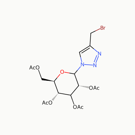 CC(=O)OC[C@H]1OC(n2cc(CBr)nn2)[C@H](OC(C)=O)C(OC(C)=O)[C@@H]1OC(C)=O